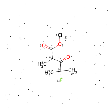 COC(=O)C(C)C(=O)C(C)(C)F